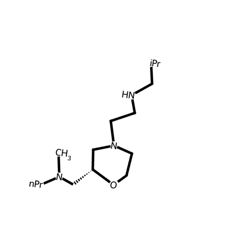 CCCN(C)C[C@@H]1CN(CCNCC(C)C)CCO1